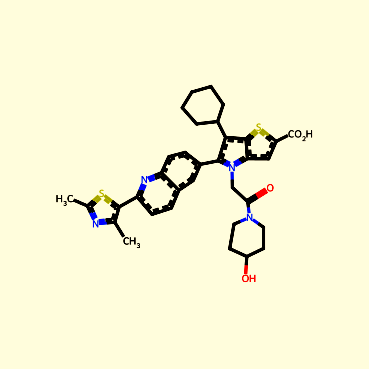 Cc1nc(C)c(-c2ccc3cc(-c4c(C5CCCCC5)c5sc(C(=O)O)cc5n4CC(=O)N4CCC(O)CC4)ccc3n2)s1